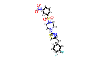 O=[N+]([O-])c1cccc(S(=O)(=O)N2CCN(c3nc(Cc4ccc(F)c(F)c4)cs3)CC2)c1